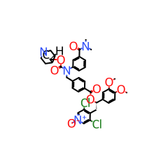 COc1ccc([C@H](Cc2c(Cl)c[n+]([O-])cc2Cl)OC(=O)c2ccc(CN(C(=O)O[C@H]3CN4CCC3CC4)c3cccc(C(=O)N(C)C)c3)cc2)cc1OC